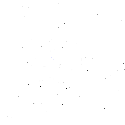 BC12CC(F)(F)CN1C(=C)C(C)C2C